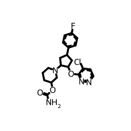 NC(=O)OC1CCCN(C2CC(c3ccc(F)cc3)CC2Oc2nnccc2Cl)C1